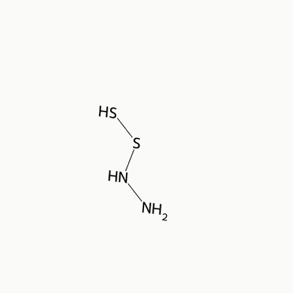 NNSS